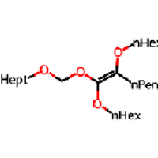 CCCCCCCOCOC(OCCCCCC)=C(CCCCC)OCCCCCC